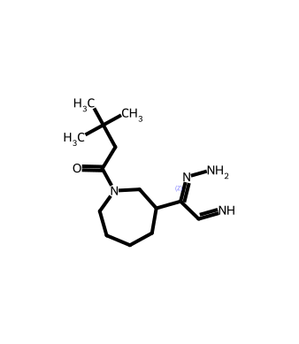 CC(C)(C)CC(=O)N1CCCCC(/C(C=N)=N/N)C1